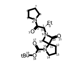 CC[C@@H](C(=O)N1CCCC1)N1CC2(CCCN2C(=O)OC(C)(C)C)C1=O